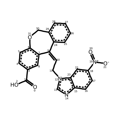 O=C(O)c1ccc2c(c1)C(=CCn1cnc3ccc([N+](=O)[O-])cc31)c1ccccc1CO2